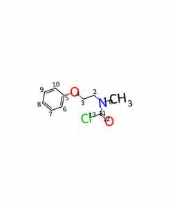 CN(CCOc1ccccc1)C(=O)Cl